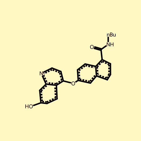 CCCCNC(=O)c1cccc2cc(Oc3ccnc4cc(O)ccc34)ccc12